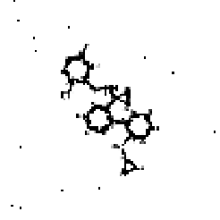 Cc1ccc(Cl)c(CNC2(c3cnccc3-c3ccccc3OC3CC3)CC2)n1